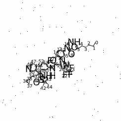 CCCCCCOC(=O)N(C=N)c1cccc(-n2nc(C(F)(F)F)cc2C(=O)Nc2cc(C(CCC3CC3)(N[S@+]([O-])C(C)(C)C)c3cccnc3)ccc2F)c1